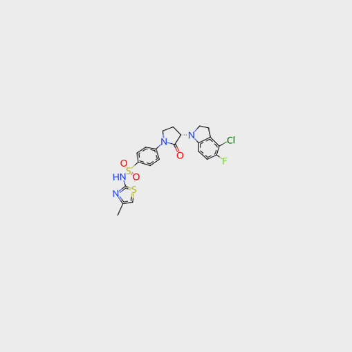 Cc1csc(NS(=O)(=O)c2ccc(N3CC[C@H](N4CCc5c4ccc(F)c5Cl)C3=O)cc2)n1